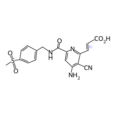 CS(=O)(=O)c1ccc(CNC(=O)c2cc(N)c(C#N)c(/C=C/C(=O)O)n2)cc1